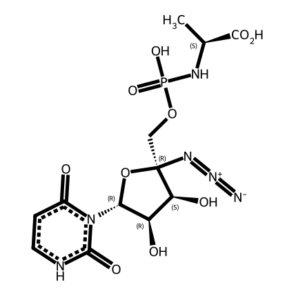 C[C@H](NP(=O)(O)OC[C@@]1(N=[N+]=[N-])O[C@@H](n2c(=O)cc[nH]c2=O)[C@H](O)[C@@H]1O)C(=O)O